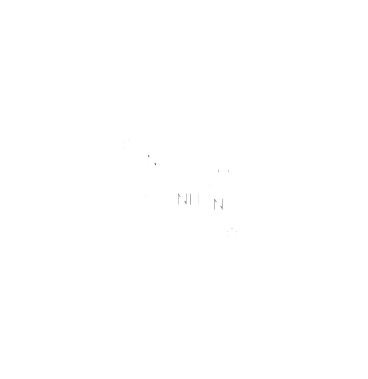 O=C(c1cc2nc(CCl)ccc2[nH]1)N1CCOCC1